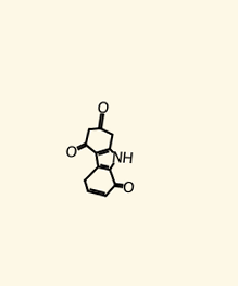 O=C1CC(=O)c2c([nH]c3c2CC=CC3=O)C1